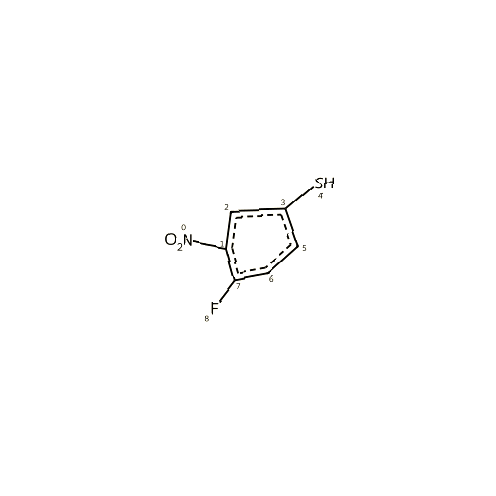 O=[N+]([O-])c1cc(S)ccc1F